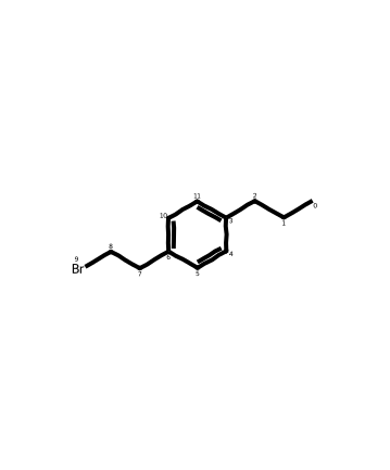 CCCc1ccc(CCBr)cc1